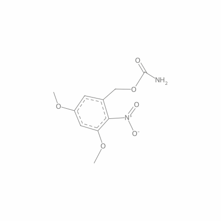 COc1cc(COC(N)=O)c([N+](=O)[O-])c(OC)c1